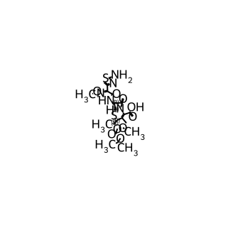 COCC1=C(C(=O)O)N2C(=O)[C@@H](NC(=O)C(=NOC)c3csc(N)n3)[C@H]2S[C@H]1[C@H](C)OC(=O)OC(C)C